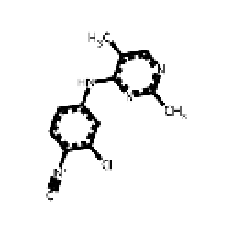 [C-]#[N+]c1ccc(Nc2nc(C)ncc2C)cc1Cl